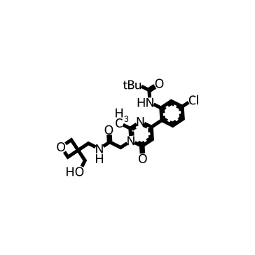 Cc1nc(-c2ccc(Cl)cc2NC(=O)C(C)(C)C)cc(=O)n1CC(=O)NCC1(CO)COC1